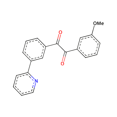 COc1cccc(C(=O)C(=O)c2cccc(-c3ccccn3)c2)c1